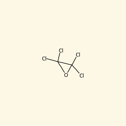 ClC1(Cl)OC1(Cl)Cl